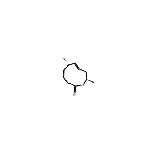 C[C@@H]1/C=C/C[C@@H](C)OC(=O)CCC1